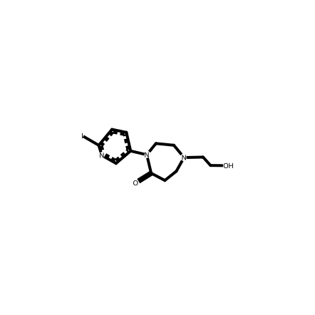 O=C1CCN(CCO)CCN1c1ccc(I)nc1